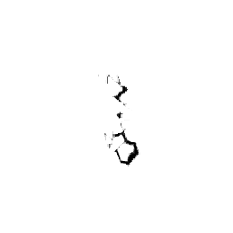 NCCSCOc1noc2ccccc12